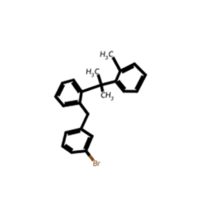 Cc1ccccc1C(C)(C)c1ccccc1Cc1cccc(Br)c1